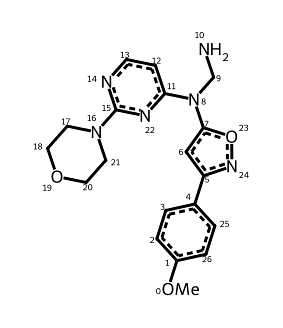 COc1ccc(-c2cc(N(CN)c3ccnc(N4CCOCC4)n3)on2)cc1